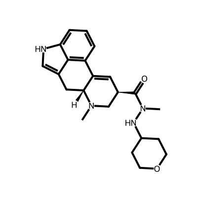 CN(NC1CCOCC1)C(=O)[C@@H]1C=C2c3cccc4[nH]cc(c34)C[C@H]2N(C)C1